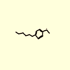 C[CH]c1ccc(CCCCCC)cc1